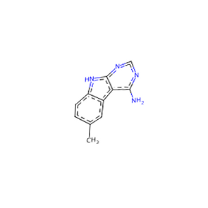 Cc1ccc2[nH]c3ncnc(N)c3c2c1